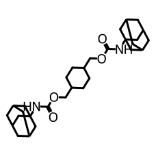 O=C(NC12CC3CC(CC(C3)C1)C2)OCC1CCC(COC(=O)NC23CC4CC(CC(C4)C2)C3)CC1